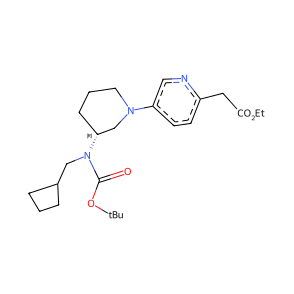 CCOC(=O)Cc1ccc(N2CCC[C@@H](N(CC3CCC3)C(=O)OC(C)(C)C)C2)cn1